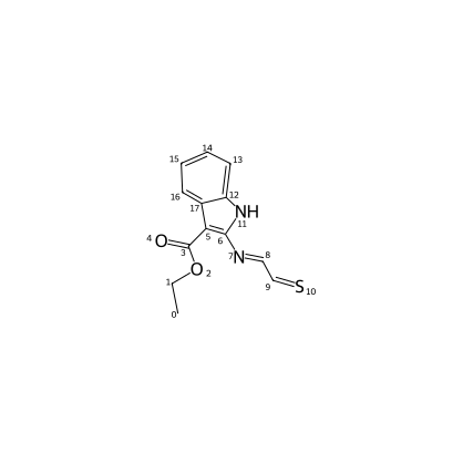 CCOC(=O)c1c(N=CC=S)[nH]c2ccccc12